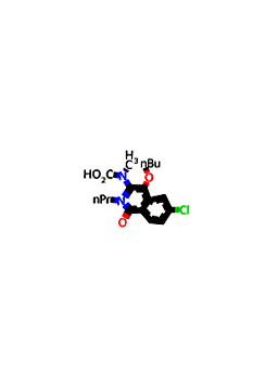 CCCCOc1c(N(C)C(=O)O)n(CCC)c(=O)c2ccc(Cl)cc12